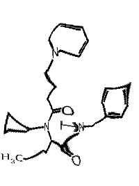 CCC(C(=O)NCc1ccccc1)N(C(=O)CCCN1C=CC=CC1)C1CC1